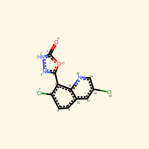 O=c1[nH]nc(-c2c(Cl)ccc3cc(Cl)cnc23)o1